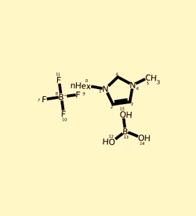 CCCCCCN1C=CN(C)C1.F[B-](F)(F)F.OB(O)O